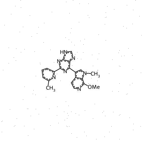 COc1nccc2c(-c3nc(-c4cccc(C)n4)nc4[nH]cnc34)cn(C)c12